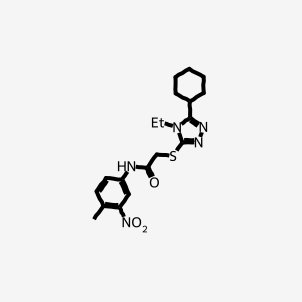 CCn1c(SCC(=O)Nc2ccc(C)c([N+](=O)[O-])c2)nnc1C1CCCCC1